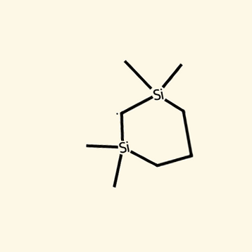 C[Si]1(C)[CH][Si](C)(C)CCC1